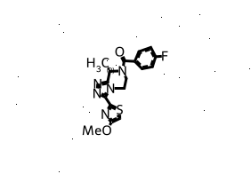 COc1csc(-c2nnc3n2CCN(C(=O)c2ccc(F)cc2)[C@@H]3C)n1